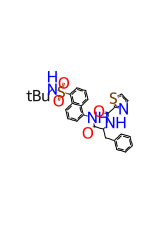 CC(C)(C)NS(=O)(=O)c1cccc2c(NC(=O)C(Cc3ccccc3)NC(=O)c3nccs3)cccc12